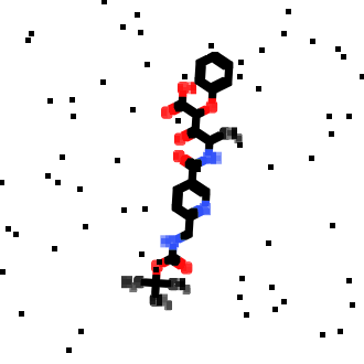 CC(NC(=O)c1ccc(CNC(=O)OC(C)(C)C)nc1)C(=O)C(Oc1ccccc1)C(=O)O